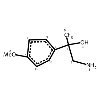 COc1ccc(C(O)(CN)C(F)(F)F)cc1